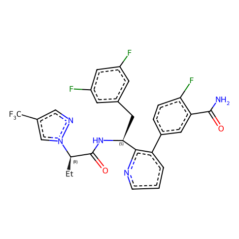 CC[C@H](C(=O)N[C@@H](Cc1cc(F)cc(F)c1)c1ncccc1-c1ccc(F)c(C(N)=O)c1)n1cc(C(F)(F)F)cn1